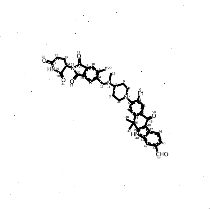 CCc1cc2c(cc1N1CCC(N(C)Cc3cc4c(cc3F)C(=O)N(C3CCC(=O)NC3=O)C4=O)CC1)C(C)(C)c1[nH]c3cc(C=O)ccc3c1C2=O